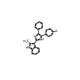 Cc1[nH]c2ccccc2c1-c1nc(-c2ccccc2)c(-c2ccc(I)cc2)[nH]1